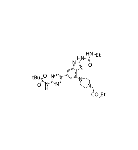 CCNC(=O)Nc1nc2cc(-c3cnc(NS(=O)(=O)C(C)(C)C)nc3)cc(N3CCN(CC(=O)OCC)CC3)c2s1